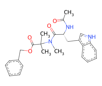 CC(=O)N[C@H](Cc1c[nH]c2ccccc12)C(=O)N(C)C(C)(C)C(=O)OCc1ccccc1